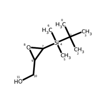 CC(C)(C)[Si](C)(C)C1OC1CO